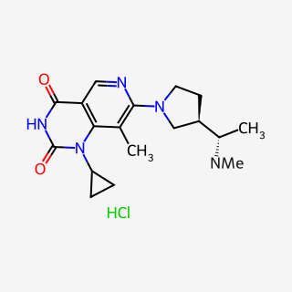 CN[C@@H](C)[C@@H]1CCN(c2ncc3c(=O)[nH]c(=O)n(C4CC4)c3c2C)C1.Cl